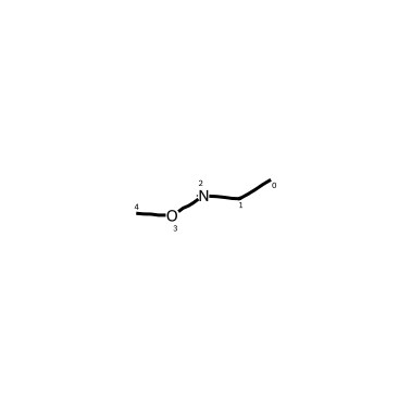 CC[N]OC